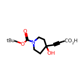 CC(C)(C)OC(=O)N1CCC(O)(C#CC(=O)O)CC1